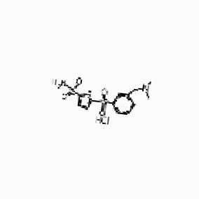 CN(C)Cc1cccc(S(=O)(=O)c2ccc(S(N)(=O)=O)s2)c1.Cl